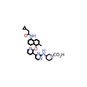 Cc1ccc2c(NC(=O)CC3CC3)cccc2c1Oc1ncccc1-c1ccnc(N[C@H]2CCCN(C(=O)O)C2)n1